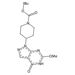 COc1nc2c(cnn2C2CCN(C(=O)OC(C)(C)C)CC2)c(=O)[nH]1